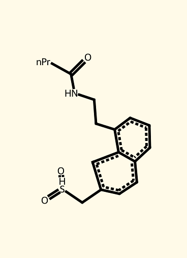 CCCC(=O)NCCc1cccc2ccc(C[SH](=O)=O)cc12